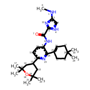 CNc1c[nH]c(C(=O)Nc2ccc(C3CC(C)(C)OC(C)(C)C3)nc2C2=CCC(C)(C)CC2)n1